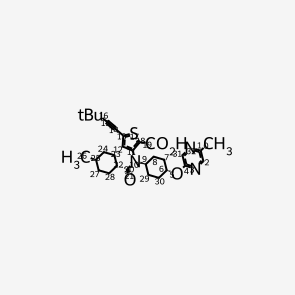 Cc1cnc(O[C@H]2CC[C@H](N(c3cc(C#CC(C)(C)C)sc3C(=O)O)C(=O)[C@H]3CC[C@H](C)CC3)CC2)cn1